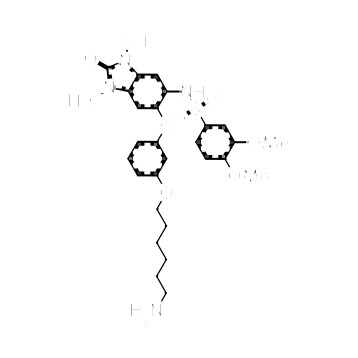 COc1ccc(S(=O)(=O)Nc2cc3c(cc2Oc2cccc(OCCCCCCN)c2)n(C)c(=O)n3C)cc1OC